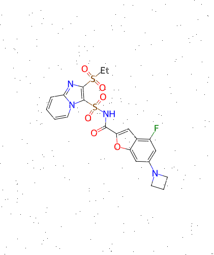 CCS(=O)(=O)c1nc2ccccn2c1S(=O)(=O)NC(=O)c1cc2c(F)cc(N3CCC3)cc2o1